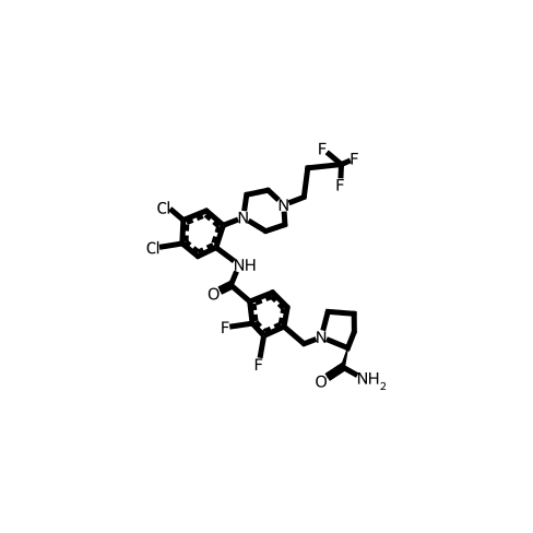 NC(=O)[C@@H]1CCCN1Cc1ccc(C(=O)Nc2cc(Cl)c(Cl)cc2N2CCN(CCC(F)(F)F)CC2)c(F)c1F